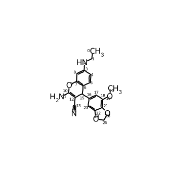 CCNc1ccc2c(c1)OC(N)=C(C#N)C2c1cc(OC)c2c(c1)OCO2